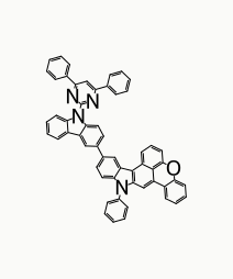 c1ccc(-c2cc(-c3ccccc3)nc(-n3c4ccccc4c4cc(-c5ccc6c(c5)c5c7cccc8c7c(cc5n6-c5ccccc5)-c5ccccc5O8)ccc43)n2)cc1